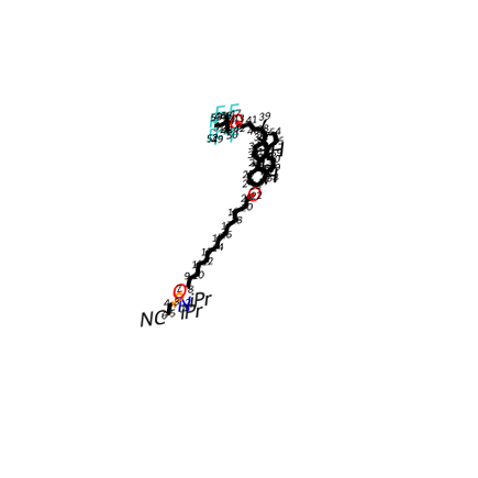 CC(C)N(C(C)C)P(CCC#N)OCCCCCCCCCCCCCCO[C@@H]1CC[C@@]2(C)[C@H](CC[C@@H]3[C@@H]2CC[C@]2(C)[C@@H]([C@H](C)CCCOC(C(F)F)(C(F)F)C(F)F)CC[C@@H]32)C1